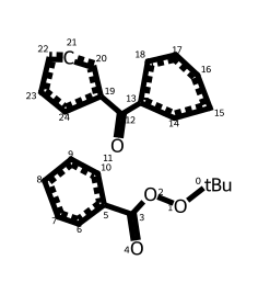 CC(C)(C)OOC(=O)c1ccccc1.O=C(c1ccccc1)c1ccccc1